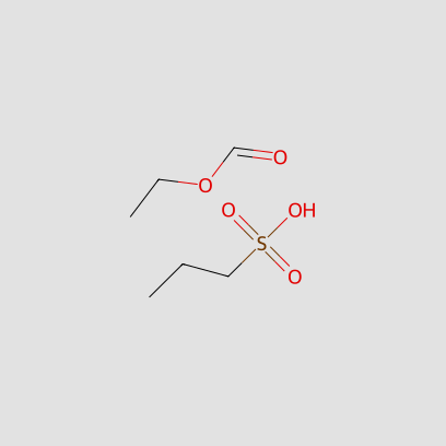 CCCS(=O)(=O)O.CCOC=O